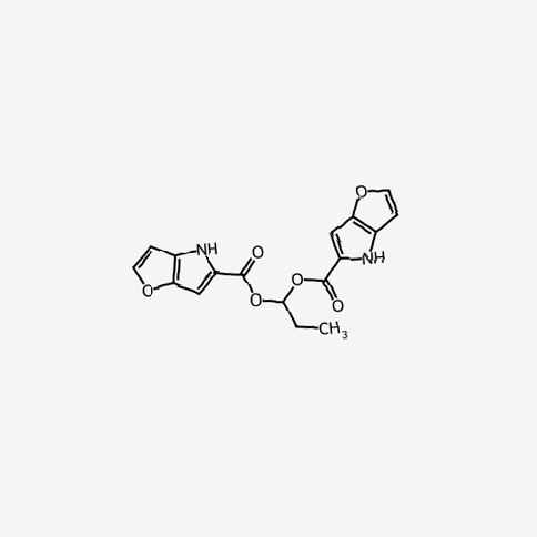 CCC(OC(=O)c1cc2occc2[nH]1)OC(=O)c1cc2occc2[nH]1